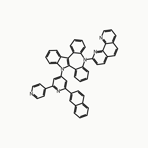 c1ccc2c(c1)-c1c(n(-c3cc(-c4ccncc4)nc(-c4ccc5ccccc5c4)c3)c3ccccc13)-c1ccccc1N2c1ccc2ccc3cccnc3c2n1